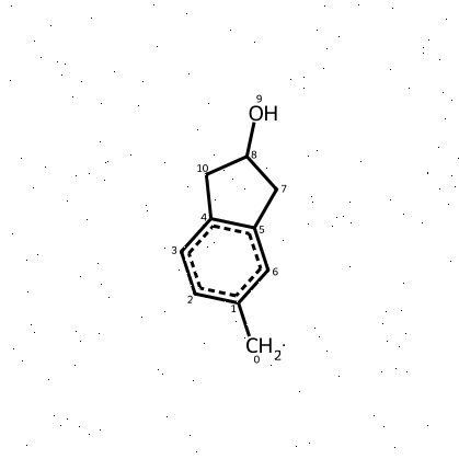 [CH2]c1ccc2c(c1)CC(O)C2